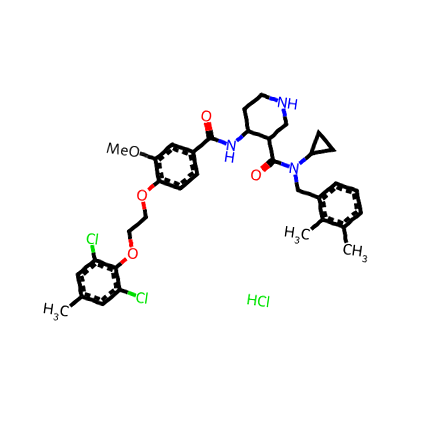 COc1cc(C(=O)NC2CCNCC2C(=O)N(Cc2cccc(C)c2C)C2CC2)ccc1OCCOc1c(Cl)cc(C)cc1Cl.Cl